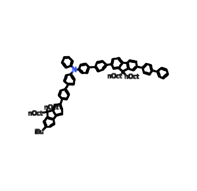 CCCCCCCCC1(CCCCCCCC)c2cc(-c3ccc(-c4ccccc4)cc3)ccc2-c2ccc(-c3ccc(-c4ccc(N(c5ccccc5)c5ccc(-c6ccc(-c7ccc8c(c7)C(CCCCCCCC)(CCCCCCCC)c7cc(C(C)CC)ccc7-8)cc6)cc5)cc4)cc3)cc21